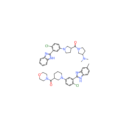 CN(C)C1CCN(C(=O)C2CCN(c3ccc(Cl)c(-c4nc5ccccc5[nH]4)c3)C2)C1.Cc1ccc2[nH]c(-c3cc(N4CCCC(C(=O)N5CCOCC5)C4)ccc3Cl)nc2c1